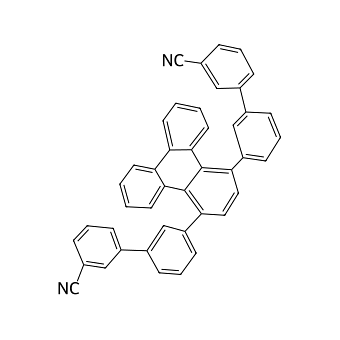 N#Cc1cccc(-c2cccc(-c3ccc(-c4cccc(-c5cccc(C#N)c5)c4)c4c5ccccc5c5ccccc5c34)c2)c1